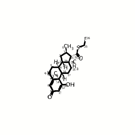 C[C@@H]1C[C@H]2[C@@H]3CCC4=CC(=O)C=C(O)[C@]4(C)[C@H]3CC[C@]2(C)[C@H]1C(=O)SCF